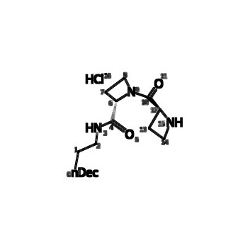 CCCCCCCCCCCCNC(=O)[C@@H]1CCN1C(=O)[C@@H]1CCN1.Cl